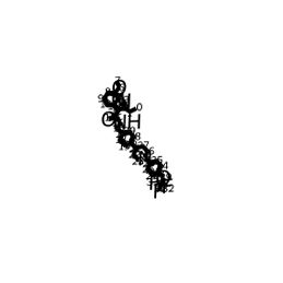 CCc1nn2c(OC)cccc2c1C(=O)NCc1ccc(C2CCN(c3ccc(OC(F)(F)F)cc3)CC2)cc1